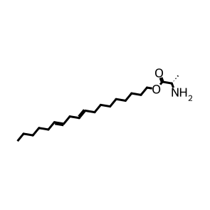 CCCCCC=CCC=CCCCCCCCCOC(=O)[C@H](C)N